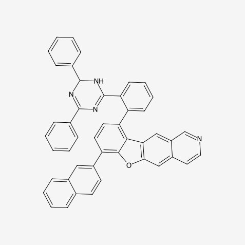 c1ccc(C2=NC(c3ccccc3)NC(c3ccccc3-c3ccc(-c4ccc5ccccc5c4)c4oc5cc6ccncc6cc5c34)=N2)cc1